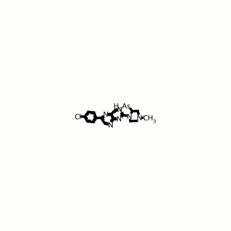 CN1CCN(c2ncc3nc(-c4ccc(Cl)cc4)cnc3n2)C([AsH2])C1